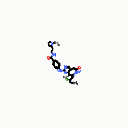 C=C1/C(=C\C(Cl)=C/C)NC(=O)Cc2cnc(Nc3ccc(C(=O)NCCC4CCCN4C)cc3)nc21